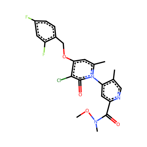 CON(C)C(=O)c1cc(-n2c(C)cc(OCc3ccc(F)cc3F)c(Cl)c2=O)c(C)cn1